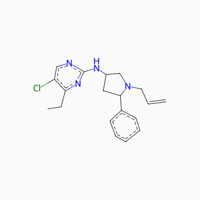 C=CCN1CC(Nc2ncc(Cl)c(CC)n2)CC1c1ccccc1